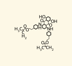 C=C(C)C(=O)OCCc1ccc(Nc2ccc(Nc3ccc(CCOC(=O)C(=C)C)cc3)c3c2C(=O)c2c(O)ccc(O)c2C3=O)cc1